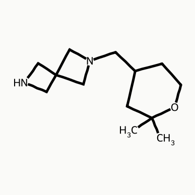 CC1(C)CC(CN2CC3(CNC3)C2)CCO1